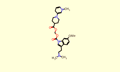 COc1ccc2c(CCN(C)C)cn(C(=O)OCOC(=O)C3CCN(C4=CN(C)C=CC4)CC3)c2c1